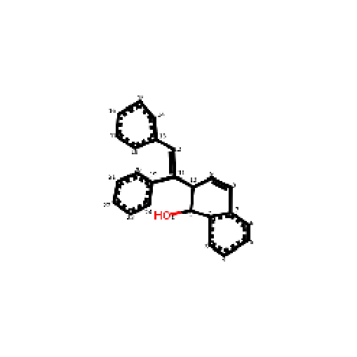 OC1c2ccccc2C=CC1C(=Cc1ccccc1)c1ccccc1